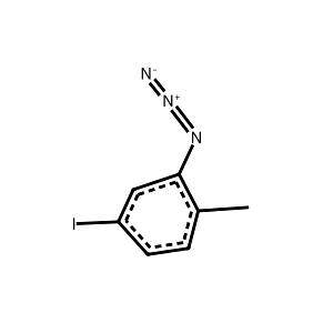 Cc1ccc(I)cc1N=[N+]=[N-]